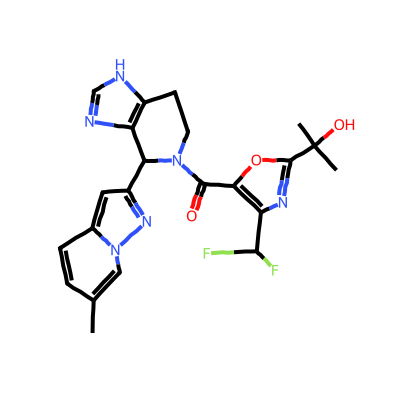 Cc1ccc2cc(C3c4nc[nH]c4CCN3C(=O)c3oc(C(C)(C)O)nc3C(F)F)nn2c1